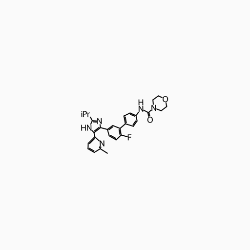 Cc1cccc(-c2[nH]c(C(C)C)nc2-c2ccc(F)c(-c3ccc(NC(=O)N4CCOCC4)cc3)c2)n1